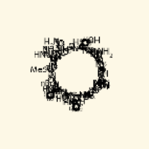 CCCC[C@H]1C(=O)N(C)[C@@H](CCSC)C(=O)N[C@@H](CCCNC(=N)N)C(=O)NC(C(=O)NCC(N)=O)CSCC(=O)N[C@@H](Cc2ccc(O)cc2)C(=O)N(C)[C@@H](C)C(=O)N[C@@H](CC(N)=O)C(=O)N2CCC[C@H]2C(=O)N[C@@H](Cc2cnc[nH]2)C(=O)N[C@@H](CC(C)C)C(=O)N2CCC[C@H]2C(=O)N[C@@H](Cc2c[nH]c3ccccc23)C(=O)N[C@@H](CO)C(=O)N[C@@H](Cc2c[nH]c3ccccc23)C(=O)N1C